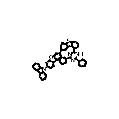 c1ccc(C2=NC(c3cccc4sc5ccc(-c6ccc7c(c6)oc6cc(-n8c9ccccc9c9ccccc98)ccc67)cc5c34)NC(c3ccccc3)=N2)cc1